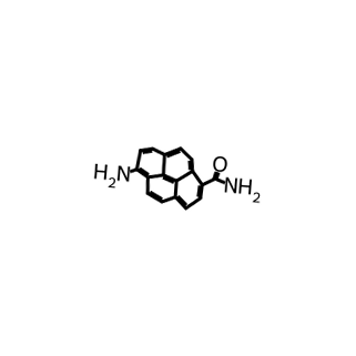 NC(=O)c1ccc2ccc3c(N)ccc4ccc1c2c43